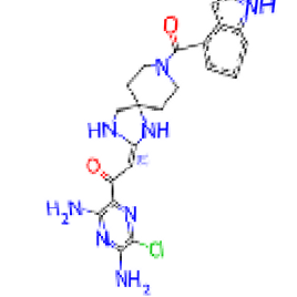 Nc1nc(N)c(C(=O)/C=C2\NCC3(CCN(C(=O)c4cccc5[nH]ccc45)CC3)N2)nc1Cl